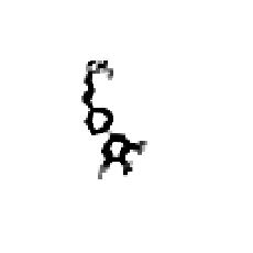 CC/C=C/[C@H]1CC[C@H](c2cc(F)c(F)c(F)c2)CC1